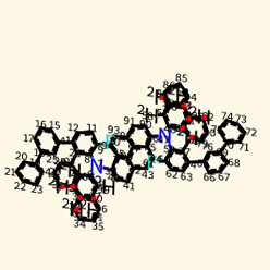 [2H]c1c([2H])c([2H])c(N(c2c(F)ccc(-c3cccc(-c4ccccc4)c3)c2-c2cccc(-c3ccccc3)c2)c2ccc3ccc4c(N(c5c([2H])c([2H])c([2H])c([2H])c5[2H])c5c(F)ccc(-c6cccc(-c7ccccc7)c6)c5-c5cccc(-c6ccccc6)c5)ccc5ccc2c3c54)c([2H])c1[2H]